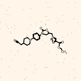 CCOC(=O)c1cn(CC2CN(c3ccc(N4CCC(CC#N)CC4)cc3)C(=O)O2)nn1